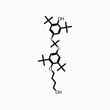 CC(C)(Sc1cc(C(C)(C)C)c(O)c(C(C)(C)C)c1)Sc1cc(C(C)(C)C)c(OCCCCO)c(C(C)(C)C)c1